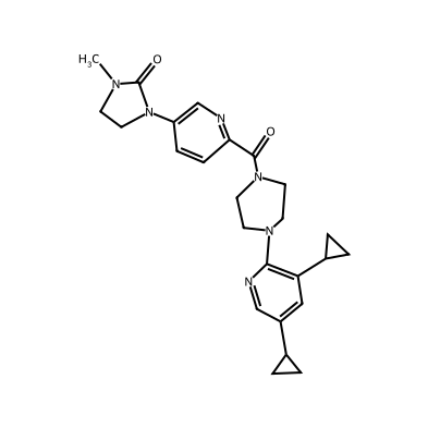 CN1CCN(c2ccc(C(=O)N3CCN(c4ncc(C5CC5)cc4C4CC4)CC3)nc2)C1=O